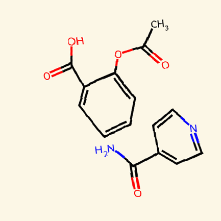 CC(=O)Oc1ccccc1C(=O)O.NC(=O)c1ccncc1